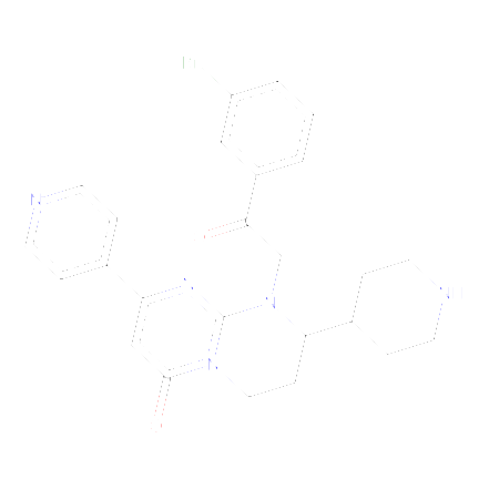 O=C(CN1c2nc(-c3ccncc3)cc(=O)n2CCC1C1CCNCC1)c1cccc(Br)c1